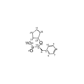 O=C(O)[C@H](Cc1ccccc1)OC1CCCC1